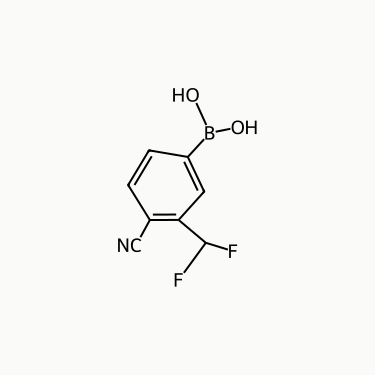 N#Cc1ccc(B(O)O)cc1C(F)F